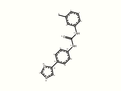 Cc1cccc(NC(=O)Nc2ccc(-c3cnco3)cc2)c1